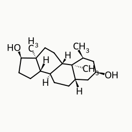 C[C@H]1C[C@@H](O)C[C@@H]2CC[C@H]3[C@@H]4CC[C@@H](O)[C@@]4(C)CC[C@@H]3[C@]21C